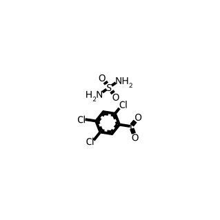 NS(N)(=O)=O.O=I(=O)c1cc(Cl)c(Cl)cc1Cl